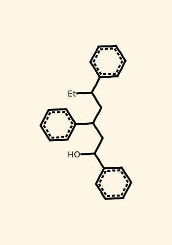 CCC(CC(CC(O)c1ccccc1)c1ccccc1)c1ccccc1